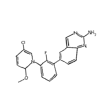 COC1C=CC(Cl)=CN1c1cccc(-c2ccc3nc(N)ncc3c2)c1F